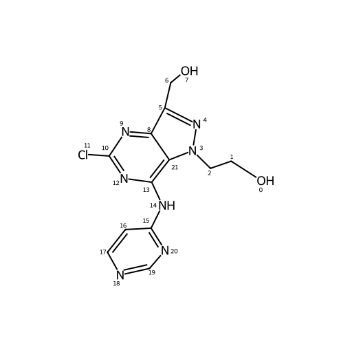 OCCn1nc(CO)c2nc(Cl)nc(Nc3ccncn3)c21